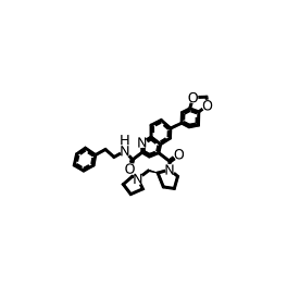 O=C(NCCc1ccccc1)c1cc(C(=O)N2CCC[C@H]2CN2CCCC2)c2cc(-c3ccc4c(c3)OCO4)ccc2n1